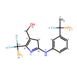 BC(F)(P)c1cccc(NC2=NC(C(F)(F)P)=C(CO)C2)c1